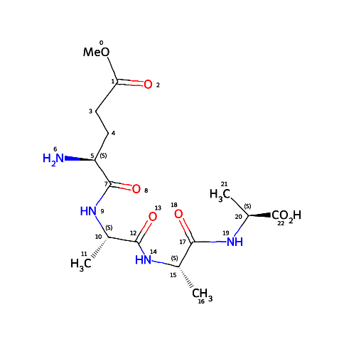 COC(=O)CC[C@H](N)C(=O)N[C@@H](C)C(=O)N[C@@H](C)C(=O)N[C@@H](C)C(=O)O